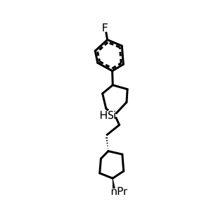 CCC[C@H]1CC[C@H](CC[SiH]2CCC(c3ccc(F)cc3)CC2)CC1